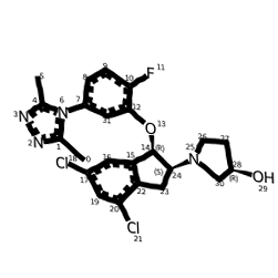 Cc1nnc(C)n1-c1ccc(F)c(O[C@@H]2c3cc(Cl)cc(Cl)c3C[C@@H]2N2CC[C@@H](O)C2)c1